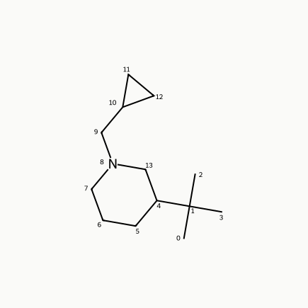 CC(C)(C)C1CCCN(CC2CC2)C1